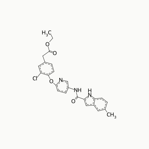 CCOC(=O)Cc1ccc(Oc2ccc(NC(=O)c3cc4cc(C)ccc4[nH]3)cn2)c(Cl)c1